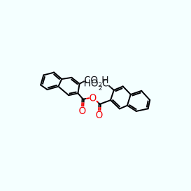 O=C(O)c1cc2ccccc2cc1C(=O)OC(=O)c1cc2ccccc2cc1C(=O)O